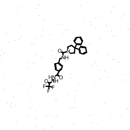 O=C(NNC(=O)C(F)(F)F)c1ccc(CNC(=O)N2CCC(c3ccccc3)(c3ccccc3)CC2)cc1